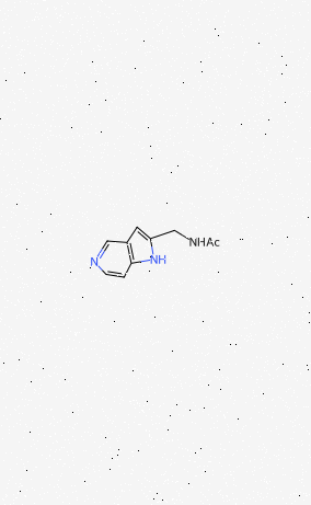 CC(=O)NCc1cc2cnccc2[nH]1